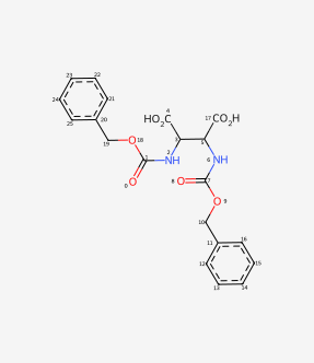 O=C(NC(C(=O)O)C(NC(=O)OCc1ccccc1)C(=O)O)OCc1ccccc1